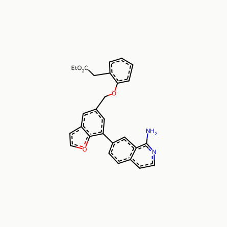 CCOC(=O)Cc1ccccc1OCc1cc(-c2ccc3ccnc(N)c3c2)c2occc2c1